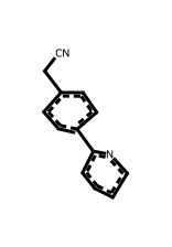 N#CCc1ccc(-c2ccccn2)cc1